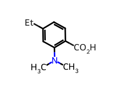 CCc1ccc(C(=O)O)c(N(C)C)c1